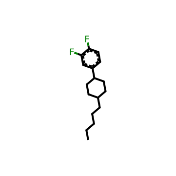 CCCCCC1CCC(c2ccc(F)c(F)c2)CC1